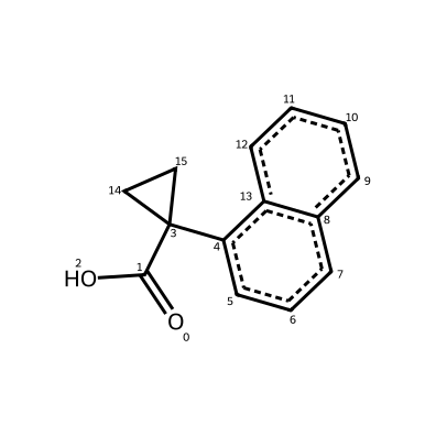 O=C(O)C1(c2cccc3ccccc23)CC1